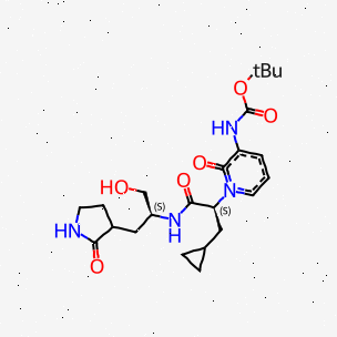 CC(C)(C)OC(=O)Nc1cccn([C@@H](CC2CC2)C(=O)N[C@H](CO)CC2CCNC2=O)c1=O